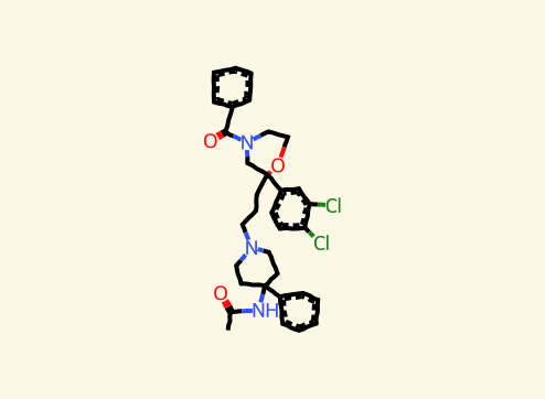 CC(=O)NC1(c2ccccc2)CCN(CCCC2(c3ccc(Cl)c(Cl)c3)CN(C(=O)c3ccccc3)CCO2)CC1